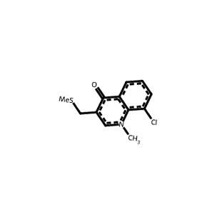 CSCc1cn(C)c2c(Cl)cccc2c1=O